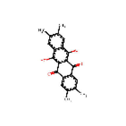 Cc1cc2c(cc1C)C(=O)c1c(c(O)c3cc(C)c(C)cc3c1O)C2=O